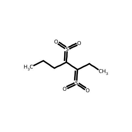 CCCC(C(CC)=S(=O)=O)=S(=O)=O